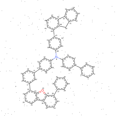 c1ccc(-c2ccc(N(c3ccc(-c4cccc(-c5cccc6c5oc5c(-c7ccccc7)cccc56)c4)cc3)c3ccc(-c4cccc5c4Cc4ccccc4-5)cc3)cc2)cc1